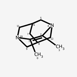 CC1=C(C)N2CC3CC(CN1C3)C2